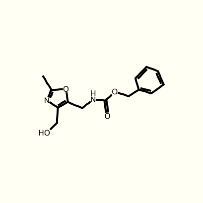 Cc1nc(CO)c(CNC(=O)OCc2ccccc2)o1